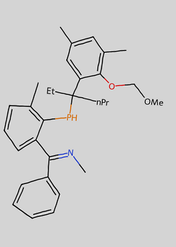 CCCC(CC)(Pc1c(C)cccc1/C(=N/C)c1ccccc1)c1cc(C)cc(C)c1OCOC